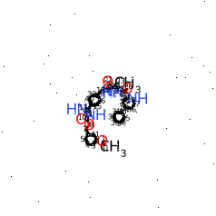 COc1cccc(COC(=O)NC(=N)c2ccc(CNC(=O)[C@H](C)NC(=O)[C@H]3C[C@@H](c4ccccc4)CCN3)cc2)c1